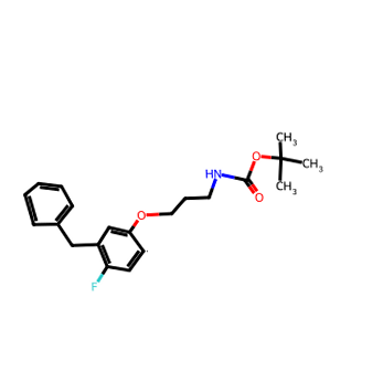 CC(C)(C)OC(=O)NCCCOc1[c]cc(F)c(Cc2ccccc2)c1